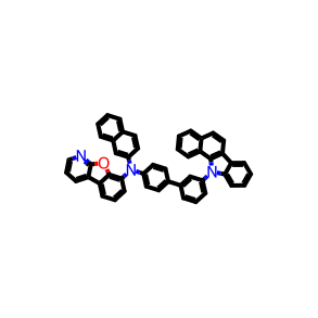 c1cc(-c2ccc(N(c3ccc4ccccc4c3)c3cccc4c3oc3ncccc34)cc2)cc(-n2c3ccccc3c3ccc4ccccc4c32)c1